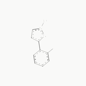 CCn1ccc(-c2ccccc2F)n1